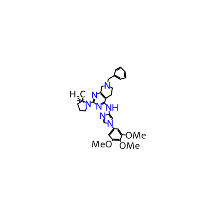 COc1cc(-n2cnc(Nc3nc(N4CCC[C@H]4C)nc4c3CCN(Cc3ccccc3)C4)c2)cc(OC)c1OC